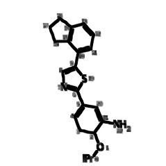 CC(C)OC1CC=C(c2ncc(-c3cccc4c3CCC4)s2)C=C1N